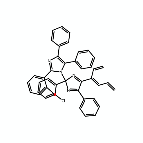 C=C/C=C(\C=C)C1=NC(c2ccccc2Cl)(n2c(-c3ccccc3Cl)nc(-c3ccccc3)c2-c2ccccc2)N=C1c1ccccc1